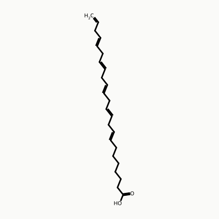 C=CCC=CCC=CCC=CCC=CCC=CCCCCCCC(=O)O